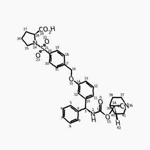 O=C(N[C@@H](c1ccccc1)c1cccc(OCc2ccc(S(=O)(=O)N3CCC[C@H]3C(=O)O)cc2)c1)O[C@H]1CN2CCC1CC2